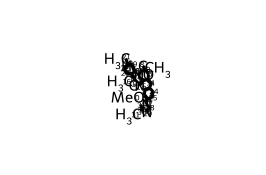 COc1cc(/C=C2/OC(C)(C)CN3C2=NOC3(C)c2ccc(C)cc2)ccc1-n1cnc(C)c1